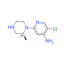 C[C@H]1CNCCN1c1cc(N)c(Cl)cn1